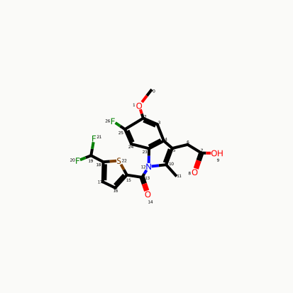 COc1cc2c(CC(=O)O)c(C)n(C(=O)c3ccc(C(F)F)s3)c2cc1F